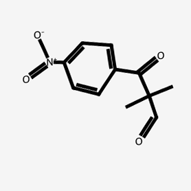 CC(C)(C=O)C(=O)c1ccc([N+](=O)[O-])cc1